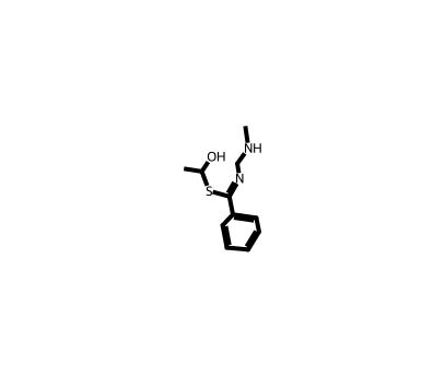 CNC/N=C(\SC(C)O)c1ccccc1